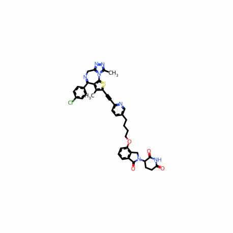 Cc1c(C#Cc2ccc(CCCCOc3cccc4c3CN(C3CCC(=O)NC3=O)C4=O)cn2)sc2c1C(c1ccc(Cl)cc1)=NCc1nnc(C)n1-2